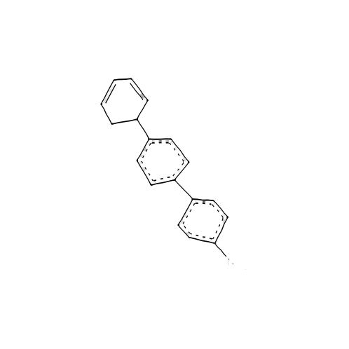 Nc1ccc(-c2ccc(C3C=CC=CC3)cc2)cc1